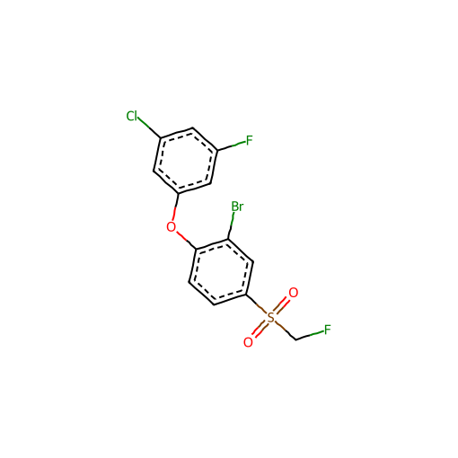 O=S(=O)(CF)c1ccc(Oc2cc(F)cc(Cl)c2)c(Br)c1